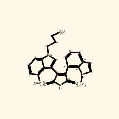 COc1cccc2c1c(C1=C(c3cccc4ccn(C)c34)C(=O)NC1=O)cn2CCCO